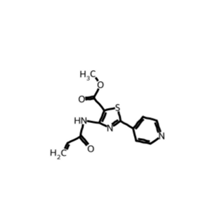 C=CC(=O)Nc1nc(-c2ccncc2)sc1C(=O)OC